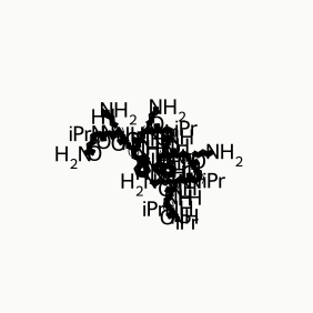 CC(C)NC(=O)N[C@H](CNC(=O)N[C@@H](CCCCN)CNC(=O)N[C@H](CNC(=O)N[C@@H](CCCCN)CNC(=O)N[C@H](CNC(=O)N[C@H](CNC(=O)N[C@@H](CCCCN)CNC(=O)N[C@H](CNC(=O)N[C@@H](CCCCN)CNC(=O)N[C@H](CCC(N)=O)C(C)C)Cc1c[nH]c2ccccc12)C(C)C)Cc1c[nH]c2ccccc12)C(C)C)C(C)C